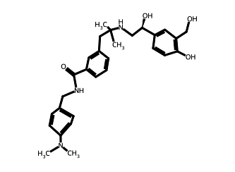 CN(C)c1ccc(CNC(=O)c2cccc(CC(C)(C)NC[C@@H](O)c3ccc(O)c(CO)c3)c2)cc1